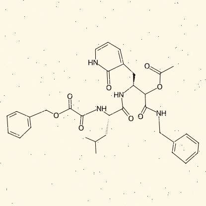 CC(=O)OC(C(=O)NCc1ccccc1)[C@H](Cc1ccc[nH]c1=O)NC(=O)[C@H](CC(C)C)NC(=O)C(=O)OCc1ccccc1